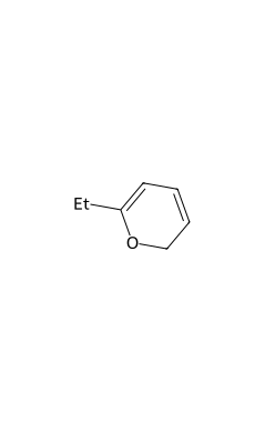 CCC1=CC=CCO1